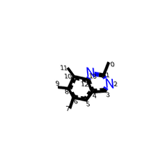 Cc1ncc2cc(C)c(C)c(C)c2n1